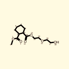 COC(=O)C1CCCCC1C(=O)OCCOCCO